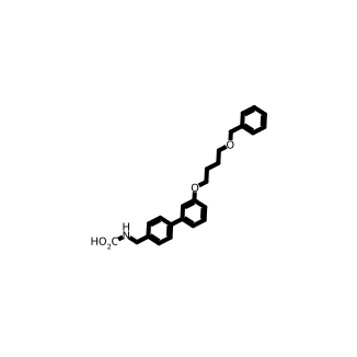 O=C(O)NCc1ccc(-c2cccc(OCCCCOCc3ccccc3)c2)cc1